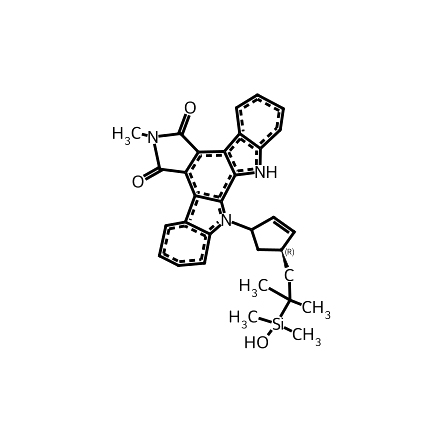 CN1C(=O)c2c(c3c4ccccc4n(C4C=C[C@@H](CC(C)(C)[Si](C)(C)O)C4)c3c3[nH]c4ccccc4c23)C1=O